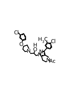 CC(=O)N1CCc2c(c(-c3ccc(Cl)c(C)c3)nn2CC(O)CN2CCC(Oc3cccc(Cl)c3)CC2)C1